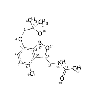 CC1(C)COc2ccc(Cl)c3c2B(OC3CNC(=O)O)O1